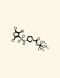 CC(C)(C)OC(=O)N1CC[C@@H](NS(=O)(=O)c2c(Cl)sc(Cl)c2Br)C1